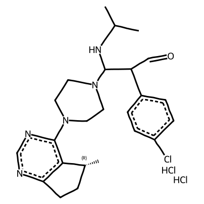 CC(C)NC(C(C=O)c1ccc(Cl)cc1)N1CCN(c2ncnc3c2[C@H](C)CC3)CC1.Cl.Cl